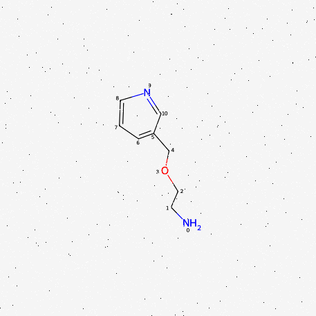 NCCOCc1cccnc1